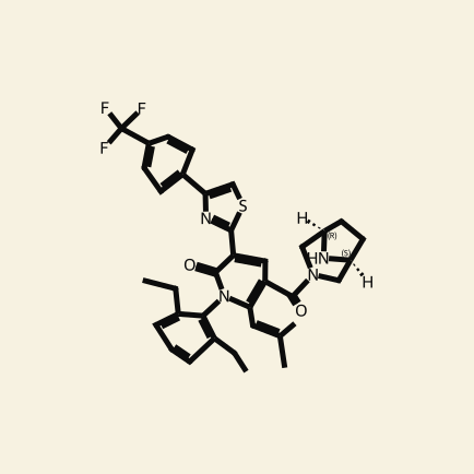 CCc1cccc(CC)c1-n1c(C=C(C)C)c(C(=O)N2C[C@H]3CC[C@@H](C2)N3)cc(-c2nc(-c3ccc(C(F)(F)F)cc3)cs2)c1=O